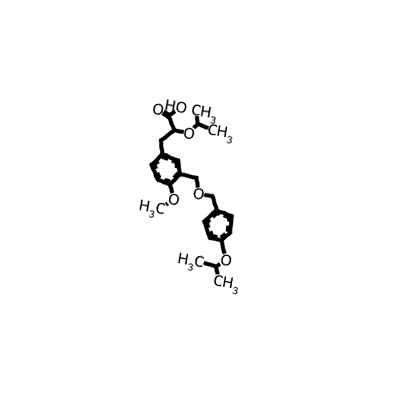 COc1ccc(CC(OC(C)C)C(=O)O)cc1COCc1ccc(OC(C)C)cc1